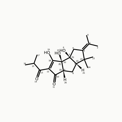 CC(C)=C1C[C@]2(O)[C@@H](C[C@@H]3C(=O)C(C(=O)C(C)C)=C(O)[C@@]32O)C1(C)C